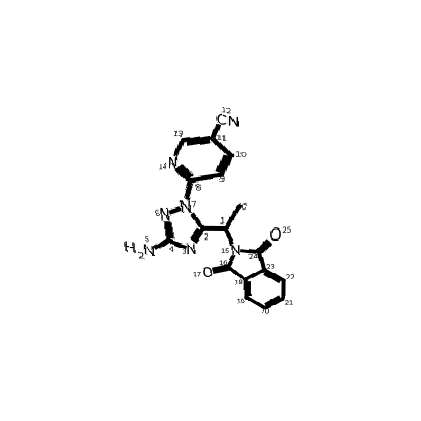 CC(c1nc(N)nn1-c1ccc(C#N)cn1)N1C(=O)c2ccccc2C1=O